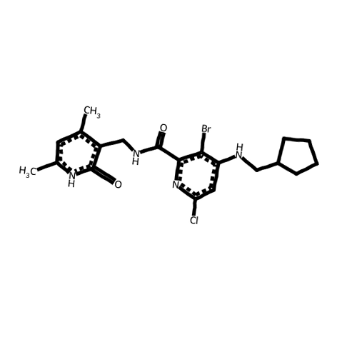 Cc1cc(C)c(CNC(=O)c2nc(Cl)cc(NCC3CCCC3)c2Br)c(=O)[nH]1